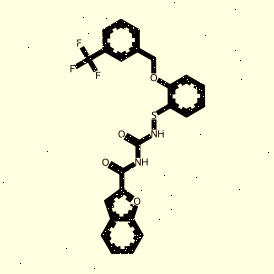 O=C(NSc1ccccc1OCc1cccc(C(F)(F)F)c1)NC(=O)c1cc2ccccc2o1